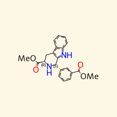 COC(=O)c1cccc([C@@H]2N[C@@H](C(=O)OC)Cc3c2[nH]c2ccccc32)c1